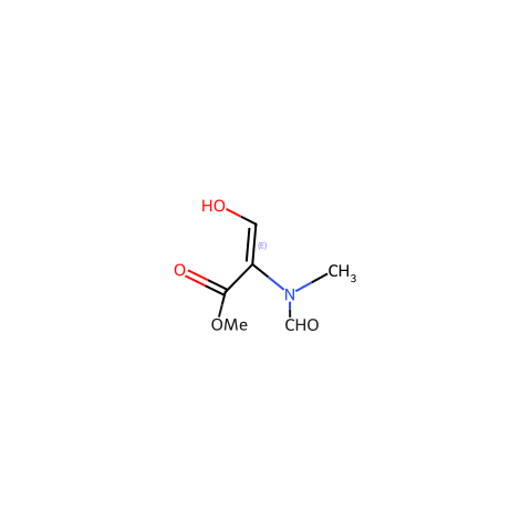 COC(=O)/C(=C\O)N(C)C=O